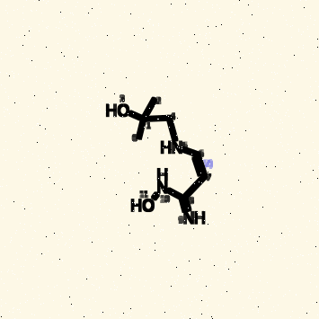 CC(C)(O)CN/C=C\C(=N)NO